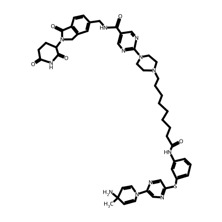 CC1(N)C=CN(c2cnc(Sc3cccc(NC(=O)CCCCCCCCN4CCN(c5ncc(C(=O)NCc6ccc7c(c6)CN(C6CCC(=O)NC6=O)C7=O)cn5)CC4)c3)cn2)C=C1